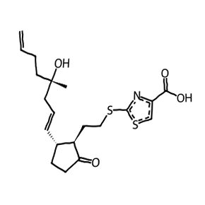 C=CCC[C@](C)(O)C/C=C/[C@H]1CCC(=O)[C@@H]1CCSc1nc(C(=O)O)cs1